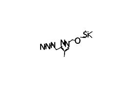 Cc1cn(COCC[Si](C)(C)C)nc1CN=[N+]=[N-]